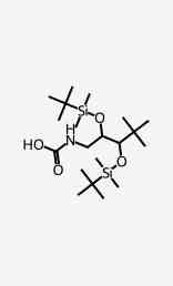 CC(C)(C)C(O[Si](C)(C)C(C)(C)C)C(CNC(=O)O)O[Si](C)(C)C(C)(C)C